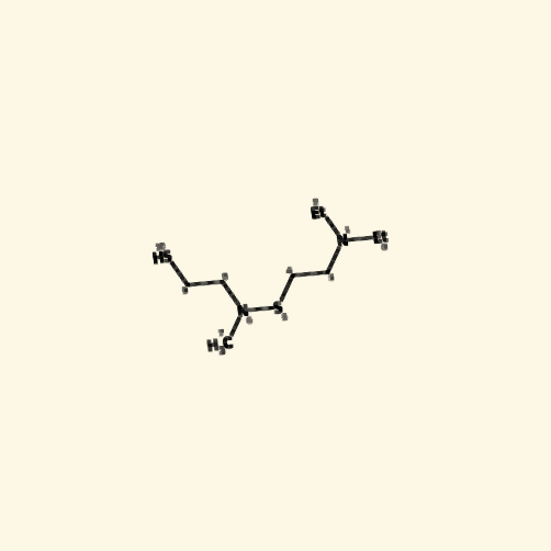 CCN(CC)CCSN(C)CCS